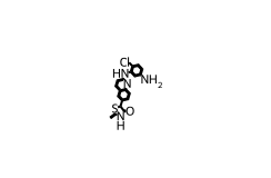 C=C1NC(=O)C(c2ccc3nc(Nc4cc(N)ccc4Cl)ccc3c2)S1